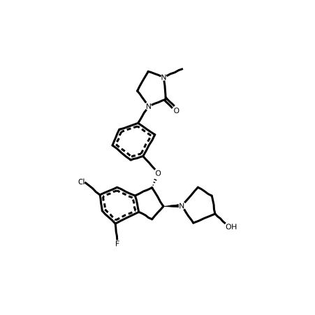 CN1CCN(c2cccc(O[C@H]3c4cc(Cl)cc(F)c4C[C@@H]3N3CCC(O)C3)c2)C1=O